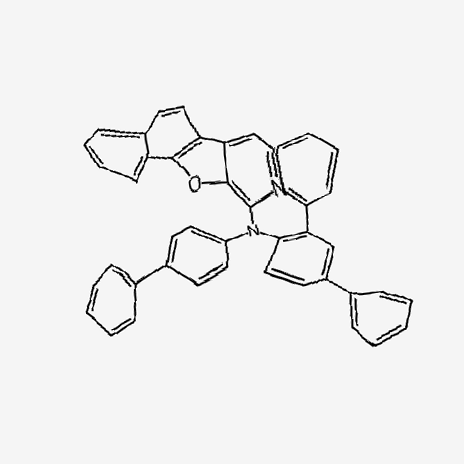 c1ccc(-c2ccc(N(c3ccc(-c4ccccc4)cc3-c3ccccc3)c3nccc4c3oc3c5ccccc5ccc43)cc2)cc1